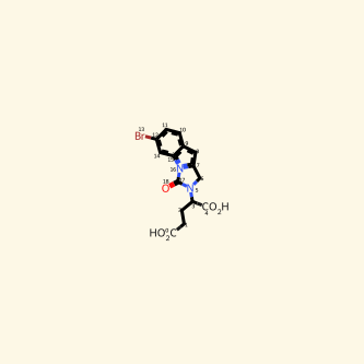 O=C(O)CCC(C(=O)O)N1Cc2cc3ccc(Br)cc3n2C1=O